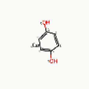 Oc1ccc(O)cc1.[Cu]